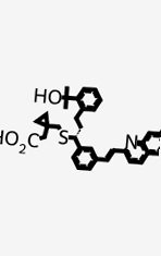 CC(C)(O)c1ccccc1CC[C@@H](SCC1(CC(=O)O)CC1)c1cccc(/C=C/c2ccc3ccc(I)cc3n2)c1